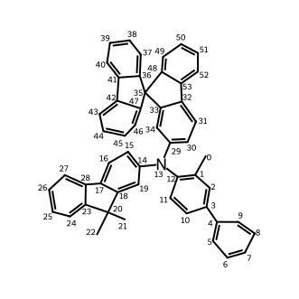 Cc1cc(-c2ccccc2)ccc1N(c1ccc2c(c1)C(C)(C)c1ccccc1-2)c1ccc2c(c1)C1(c3ccccc3-c3ccccc31)c1ccccc1-2